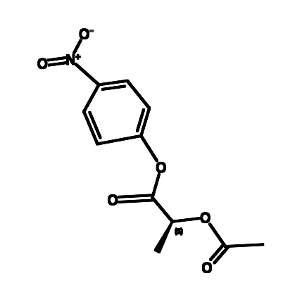 CC(=O)O[C@@H](C)C(=O)Oc1ccc([N+](=O)[O-])cc1